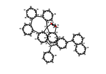 c1ccc(N(c2ccc(-c3cccc4ccccc34)cc2)c2ccc3c(c2)C2(c4ccccc4-c4ccccc4-c4ccccc4-3)c3ccccc3-c3ccccc32)cc1